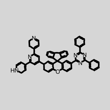 C1=CC(c2cc(C3C=C4C(=CC3)Oc3ccc(-c5nc(-c6ccccc6)nc(-c6ccccc6)n5)cc3C43c4ccccc4-c4ccccc43)cc(C3=CC=NCC3)n2)=CCN1